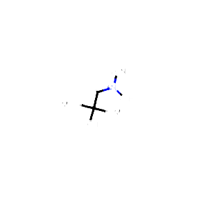 COC(C)(CN(C)C#N)OC